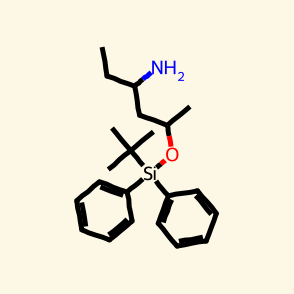 CCC(N)CC(C)O[Si](c1ccccc1)(c1ccccc1)C(C)(C)C